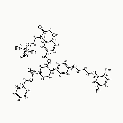 CC(C)[Si](OCCN1C(=O)COc2ccc(COC3CN(C(=O)OCc4ccccc4)CCC3c3ccc(OCCCOc4cc(F)ccc4F)cc3)cc21)(C(C)C)C(C)C